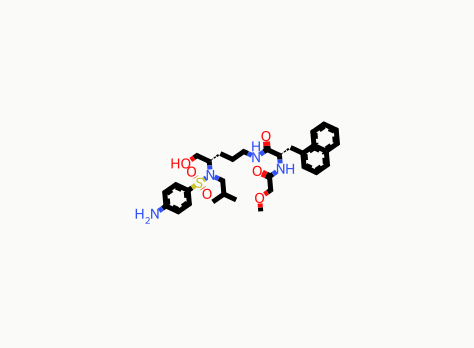 COCC(=O)N[C@@H](Cc1cccc2ccccc12)C(=O)NCCC[C@@H](CO)N(CC(C)C)S(=O)(=O)c1ccc(N)cc1